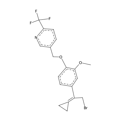 COc1cc(C(CBr)=C2CC2)ccc1OCc1ccc(C(F)(F)F)nc1